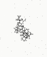 CCCC[C@H](NC(=O)[C@@H]1[C@@H]2[C@H](CN1C(=O)[C@@H](NC(=O)NC1(CS(=O)(=O)N(C)C3CC3)CCCCC1)C1(C)CCCCC1)C2(C)C)C(=O)C(=O)NC1CC1